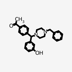 CC(=O)c1ccc(C(c2cccc(O)c2)N2CCN(Cc3ccccc3)CC2)cc1